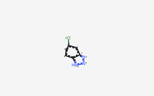 Clc1[c]c2nn[nH]c2cc1